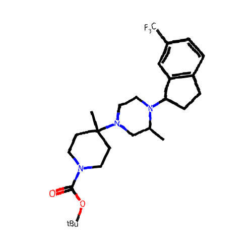 CC1CN(C2(C)CCN(C(=O)OC(C)(C)C)CC2)CCN1C1CCc2ccc(C(F)(F)F)cc21